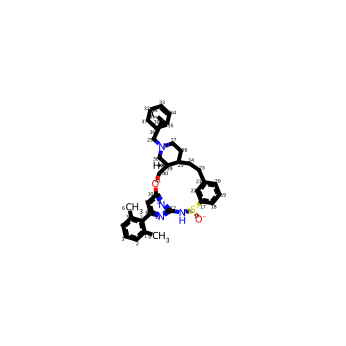 Cc1cccc(C)c1-c1cc2nc(n1)N[S+]([O-])c1cccc(c1)CCC1CCN(CC3CC4C=CC3CC4)C[C@@H]1CO2